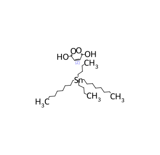 CCCCCCC[CH2][Sn]([CH2]CCC)([CH2]CCC)[CH2]CCCCCCC.O=C(O)/C=C\C(=O)O